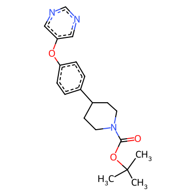 CC(C)(C)OC(=O)N1CCC(c2ccc(Oc3cncnc3)cc2)CC1